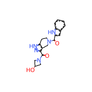 O=C(c1cc2ccccc2[nH]1)N1CCc2[nH]nc(C(=O)N3CC(O)C3)c2C1